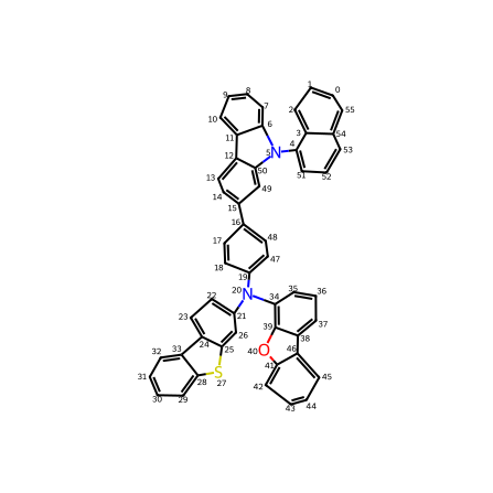 c1ccc2c(-n3c4ccccc4c4ccc(-c5ccc(N(c6ccc7c(c6)sc6ccccc67)c6cccc7c6oc6ccccc67)cc5)cc43)cccc2c1